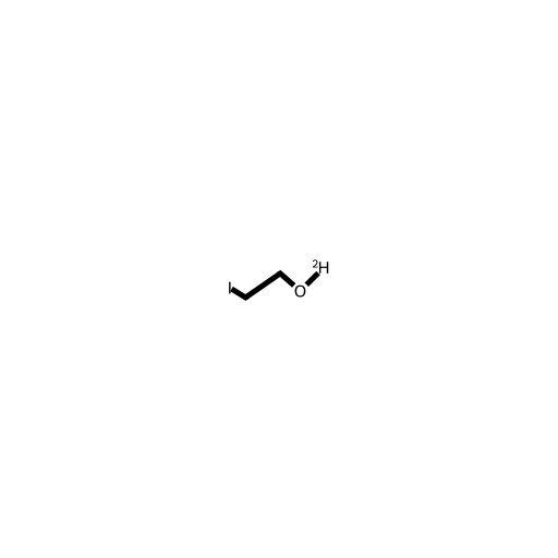 [2H]OCCI